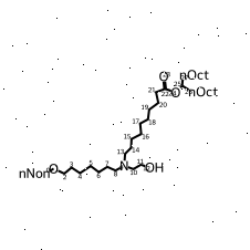 CCCCCCCCCOCCCCCCCN(CCO)CCCCCCCCCC(=O)OC(CCCCCCCC)CCCCCCCC